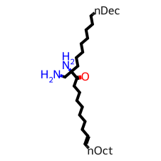 CCCCCCCCC=CCCCCCCCC(=O)C(N)(CN)CCCCCCCCCCCCCCCCCC